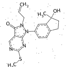 C=CCn1c(=O)c2cnc(SC)nc2n1-c1ccc2c(c1)C(C)(O)CC2